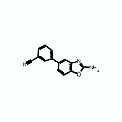 N#Cc1cccc(-c2ccc3oc(N)nc3c2)c1